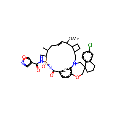 COC1/C=C/CC(C)C(C)S(=O)(NC(=O)c2cnoc2)=NC(=O)c2ccc3c(c2)N(CC2CCC21)CC1(CCCc2cc(Cl)ccc21)CO3